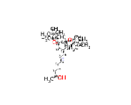 C[C@@H](O)CCC/C=C/C=C1C[C@@H](O[Si](C)(C)C(C)(C)C)C[C@H](O[Si](C)(C)C(C)(C)C)C1